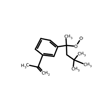 C=C(C)c1cccc(C(C)(CC(C)(C)C)O[O])c1